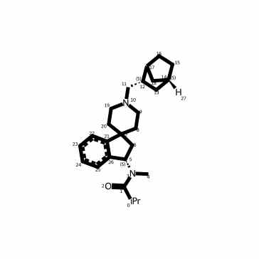 CC(C)C(=O)N(C)[C@H]1CC2(CCN(C[C@H]3C[C@H]4CCC3C4)CC2)c2ccccc21